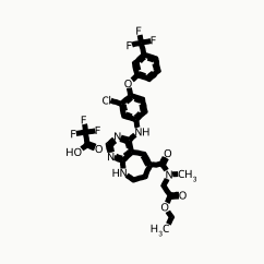 CCOC(=O)CN(C)C(=O)C1=Cc2c(ncnc2Nc2ccc(Oc3cccc(C(F)(F)F)c3)c(Cl)c2)NCC1.O=C(O)C(F)(F)F